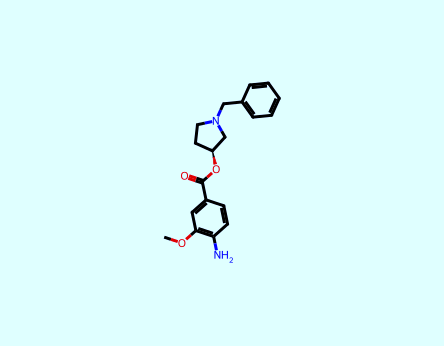 COc1cc(C(=O)O[C@H]2CCN(Cc3ccccc3)C2)ccc1N